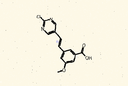 COc1cc(/C=C/c2cnc(Cl)nc2)cc(C(=O)O)c1